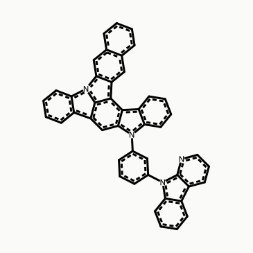 c1cc(-n2c3ccccc3c3c4c5cc6ccccc6cc5n5c6ccccc6c(cc32)c45)cc(-n2c3ccccc3c3cccnc32)c1